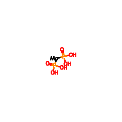 O=[P](O)(O)[Mo][P](=O)(O)O